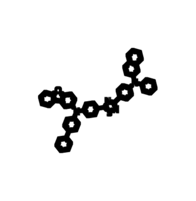 c1ccc(-c2ccc(N(c3ccc(-c4nc(-c5ccc(N(c6ccccc6)c6ccc7ccccc7c6)cc5)ns4)cc3)c3ccc4oc5ccccc5c4c3)cc2)cc1